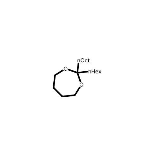 CCCCCCCCC1(CCCCCC)OCCCCO1